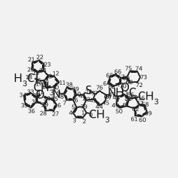 CC1C=CC=C2c3cc(N(c4ccc5c(c4)C(C)(C)c4ccccc4-5)c4cccc5c4oc4ccccc45)ccc3C3=C(C4=CC[C@H](N(c5ccc6c(c5)C(C)(C)c5ccccc5-6)c5cccc6c7c(oc56)CCC=C7)CC4S3)C21